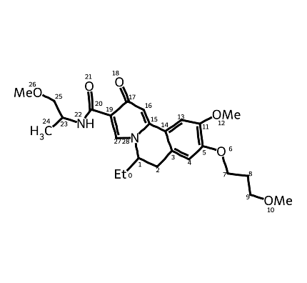 CCC1Cc2cc(OCCCOC)c(OC)cc2-c2cc(=O)c(C(=O)NC(C)COC)cn21